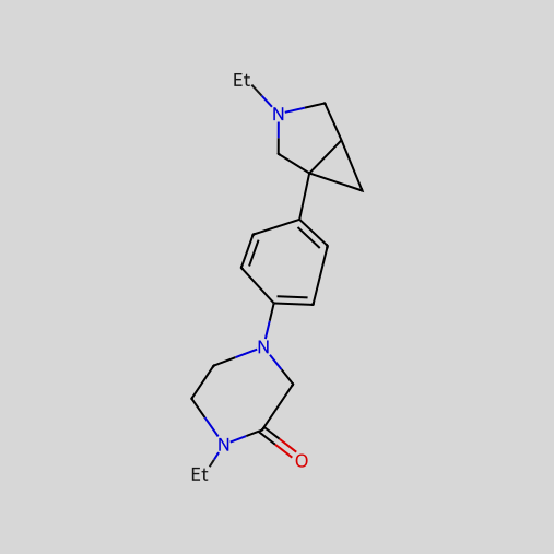 CCN1CC2CC2(c2ccc(N3CCN(CC)C(=O)C3)cc2)C1